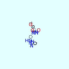 CC(=O)N[C@@H](Cc1ccc(OC(C)(C)C)cc1)C(=O)NC[C@H]1CC[C@@H](Nc2nc(N(C)C)c3ccccc3n2)CC1